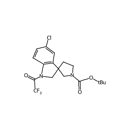 CC(C)(C)OC(=O)N1CCC2(C1)CN(C(=O)C(F)(F)F)c1ccc(Cl)cc12